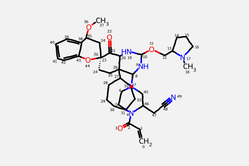 C=CC(=O)N1CCN(C2NC(OCC3CCCN3C)NC3C(=O)[C@]4(CCC32C2CCCCCC2)CC(OC)c2ccccc2O4)CC1CC#N